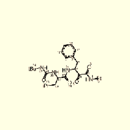 CCNC(=O)C(=O)C(Cc1ccccc1)NC(=O)C(CC(C)C)NC(=O)NC(C)(C)C